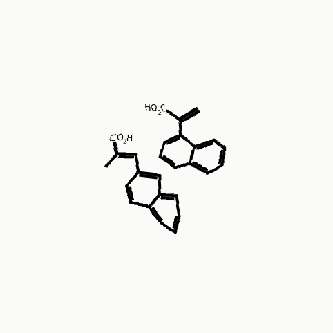 C/C(=C\c1ccc2ccccc2c1)C(=O)O.C=C(C(=O)O)c1cccc2ccccc12